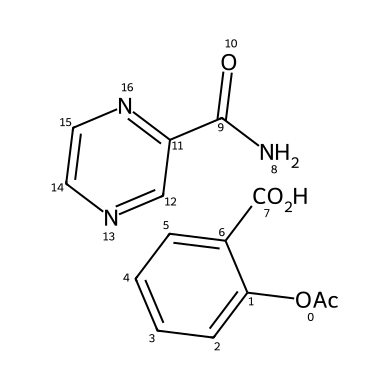 CC(=O)Oc1ccccc1C(=O)O.NC(=O)c1cnccn1